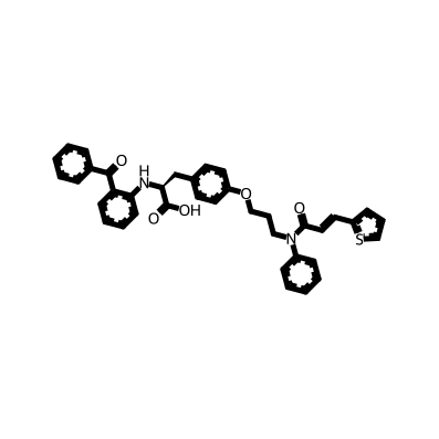 O=C(c1ccccc1)c1ccccc1N[C@@H](Cc1ccc(OCCCN(C(=O)C=Cc2cccs2)c2ccccc2)cc1)C(=O)O